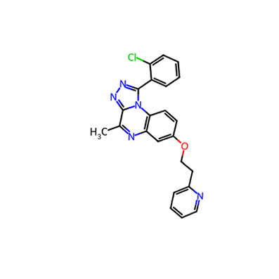 Cc1nc2cc(OCCc3ccccn3)ccc2n2c(-c3ccccc3Cl)nnc12